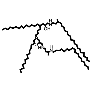 CCCCCCCCCCCCCCCCCCCC(C)CCNCC(O)CC(CCCCCCCCCCCCCC)CCCCN(CCCCCCCCCCCCCC)CC(O)CNCCC(C)NCCCCCCCCCCCCCCCCCC